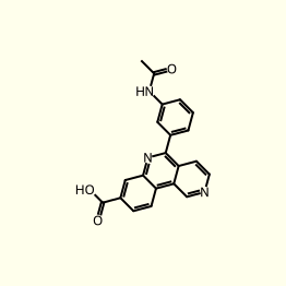 CC(=O)Nc1cccc(-c2nc3cc(C(=O)O)ccc3c3cnccc23)c1